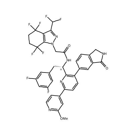 COc1cc(-c2ccc(-c3ccc4c(c3)C(=O)NC4)c([C@H](Cc3cc(F)cc(F)c3)NC(=O)Cn3nc(C(F)F)c4c3C(F)(F)CCC4(F)F)n2)ccn1